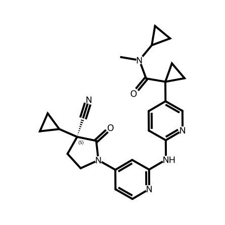 CN(C(=O)C1(c2ccc(Nc3cc(N4CC[C@@](C#N)(C5CC5)C4=O)ccn3)nc2)CC1)C1CC1